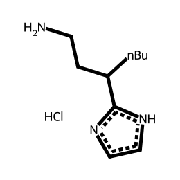 CCCCC(CCN)c1ncc[nH]1.Cl